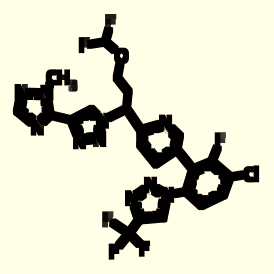 Cn1ncnc1-c1cn(C(CCOC(F)F)c2ccc(-c3c(-n4cc(C(F)(F)F)nn4)ccc(Cl)c3F)cn2)nn1